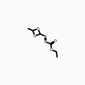 CCOC(=O)N=NC1OC(C)O1